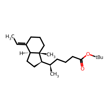 C/C=C1\CCC[C@]2(C)[C@@H]([C@H](C)CCCC(=O)OC(C)(C)C)CC[C@@H]12